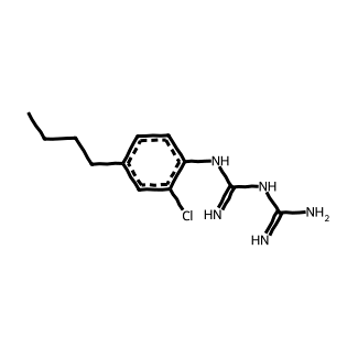 CCCCc1ccc(NC(=N)NC(=N)N)c(Cl)c1